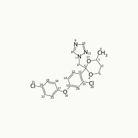 CC1CCOC(Cn2cncn2)(c2ccc(Oc3ccc(Cl)cc3)cc2Cl)O1